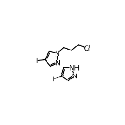 ClCCCn1cc(I)cn1.Ic1cn[nH]c1